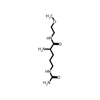 COCCNC(=O)C(N)CCCNC(N)=O